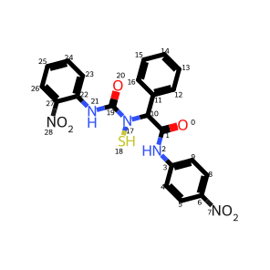 O=C(Nc1ccc([N+](=O)[O-])cc1)C(c1ccccc1)N(S)C(=O)Nc1ccccc1[N+](=O)[O-]